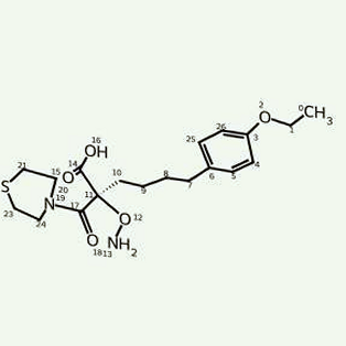 CCOc1ccc(CCCC[C@@](ON)(C(=O)O)C(=O)N2CCSCC2)cc1